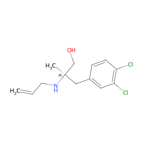 C=CCN[C@@](C)(CO)Cc1ccc(Cl)c(Cl)c1